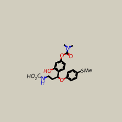 CSc1ccc(OC(CCNC(=O)O)c2ccc(OC(=O)N(C)C)cc2O)cc1